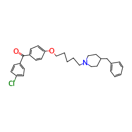 O=C(c1ccc(Cl)cc1)c1ccc(OCCCCCN2CCC(Cc3ccccc3)CC2)cc1